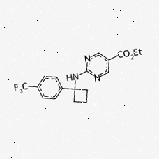 CCOC(=O)c1cnc(NC2(c3ccc(C(F)(F)F)cc3)CCC2)nc1